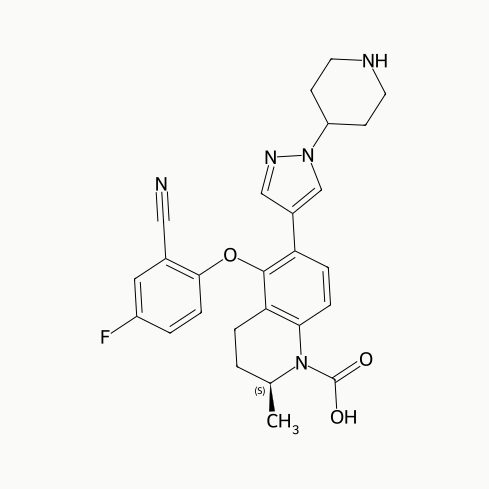 C[C@H]1CCc2c(ccc(-c3cnn(C4CCNCC4)c3)c2Oc2ccc(F)cc2C#N)N1C(=O)O